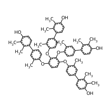 Cc1cc(-c2ccc(O)c(C)c2C)ccc1Oc1ccc(Oc2ccc(-c3ccc(O)c(C)c3C)cc2C)c(Oc2ccc(-c3ccc(O)c(C)c3C)cc2C)c1Oc1ccc(-c2ccc(O)c(C)c2C)cc1C